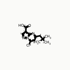 CC(C)(C)Cc1cc(Cl)n2ncc(C(=O)O)c2n1